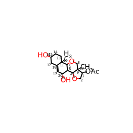 CC(=O)O[C@H]1COC2C3C(OC[C@@]21C)[C@@]1(C)CC[C@H](O)CC1=C[C@@H]3O